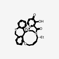 CC[C@@H]1/C=C\COc2cccc3c2[C@@H](c2ccccc2SC3)N2CN1C(=O)c1c(O)c(=O)ccn12